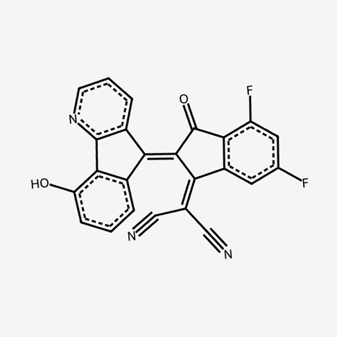 N#CC(C#N)=C1/C(=C2/c3cccnc3-c3c(O)cccc32)C(=O)c2c(F)cc(F)cc21